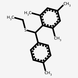 CCSC(c1ccc(C)cc1)c1c(C)cc(C)cc1C